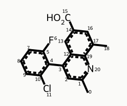 Cc1cc(-c2c(F)cccc2Cl)c2cc(C(=O)O)cc(C)c2n1